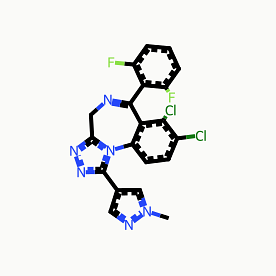 Cn1cc(-c2nnc3n2-c2ccc(Cl)c(Cl)c2C(c2c(F)cccc2F)=NC3)cn1